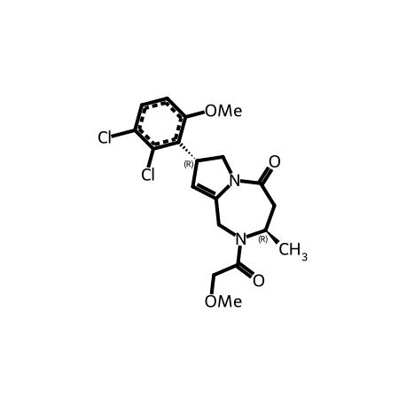 COCC(=O)N1CC2=C[C@H](c3c(OC)ccc(Cl)c3Cl)CN2C(=O)C[C@H]1C